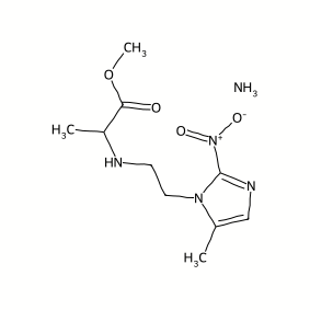 COC(=O)C(C)NCCn1c(C)cnc1[N+](=O)[O-].N